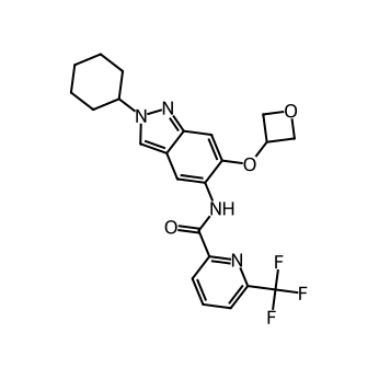 O=C(Nc1cc2cn(C3CCCCC3)nc2cc1OC1COC1)c1cccc(C(F)(F)F)n1